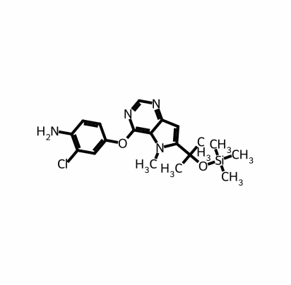 Cn1c(C(C)(C)O[Si](C)(C)C)cc2ncnc(Oc3ccc(N)c(Cl)c3)c21